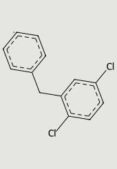 Clc1ccc(Cl)c(Cc2cc[c]cc2)c1